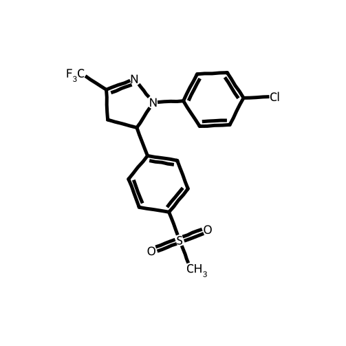 CS(=O)(=O)c1ccc(C2CC(C(F)(F)F)=NN2c2ccc(Cl)cc2)cc1